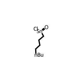 CCCCCCC[CH2][Sn](=[O])[Cl]